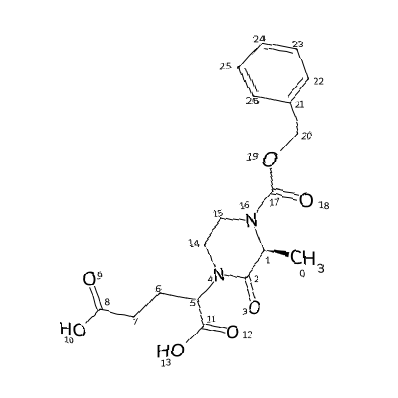 C[C@H]1C(=O)N(C(CCC(=O)O)C(=O)O)CCN1C(=O)OCc1ccccc1